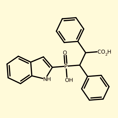 O=C(O)C(c1ccccc1)C(c1ccccc1)P(=O)(O)c1cc2ccccc2[nH]1